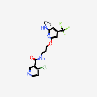 CNc1cc(C(F)(F)F)cc(OCCCNC(=O)c2cnccc2Cl)n1